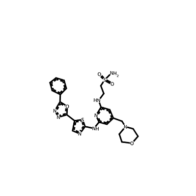 NS(=O)(=O)CCNc1cc(CN2CCOCC2)cc(Nc2ncc(-c3nnc(-c4ccccc4)o3)s2)n1